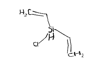 C=C[SiH](Cl)C=C